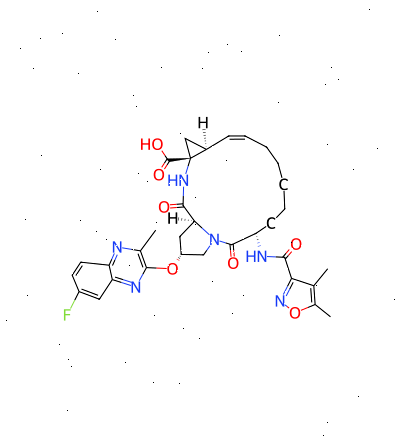 Cc1nc2ccc(F)cc2nc1O[C@@H]1C[C@H]2C(=O)N[C@]3(C(=O)O)C[C@H]3/C=C\CCCCC[C@H](NC(=O)c3noc(C)c3C)C(=O)N2C1